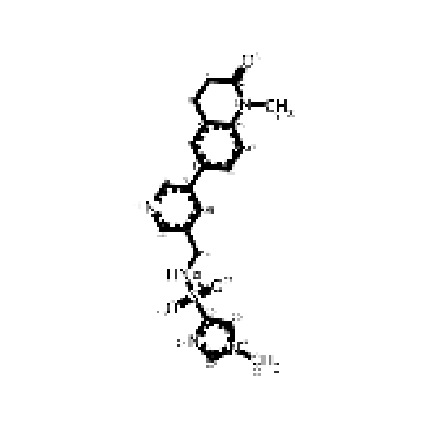 CN1C(=O)CCc2cc(-c3cncc(CNS(=O)(=O)c4cn(C)cn4)c3)ccc21